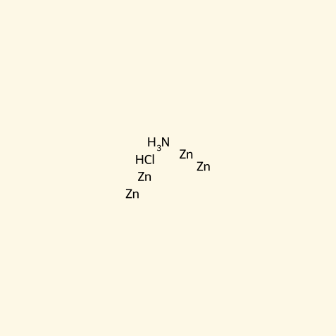 Cl.N.[Zn].[Zn].[Zn].[Zn]